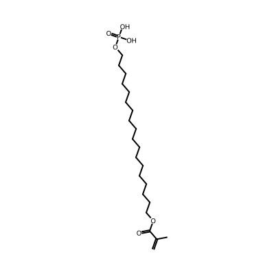 C=C(C)C(=O)OCCCCCCCCCCCCCCCCCCOP(=O)(O)O